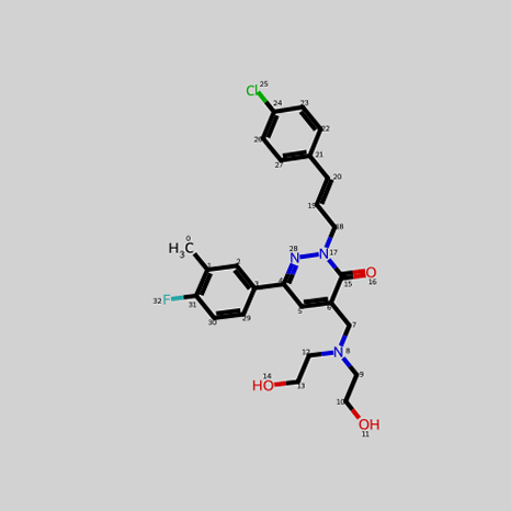 Cc1cc(-c2cc(CN(CCO)CCO)c(=O)n(CC=Cc3ccc(Cl)cc3)n2)ccc1F